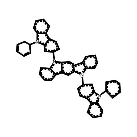 C1=CCC(n2c3ccccc3c3ccc(-n4c5ccccc5c5cc6c(cc54)c4ccccc4n6-c4ccc5c6ccccc6n(-c6ccccc6)c5c4)cc32)C=C1